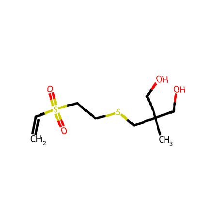 C=CS(=O)(=O)CCSCC(C)(CO)CO